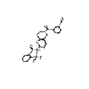 N#Cc1cccc(C(=O)N2CCc3nc(NC(=O)c4ccccc4C(F)(F)F)ncc3C2)c1